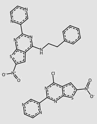 O=[N+]([O-])c1cc2c(Cl)nc(-c3cnccn3)nc2s1.O=[N+]([O-])c1cc2c(NCCc3ccccc3)nc(-c3cnccn3)nc2s1